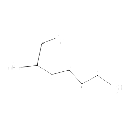 CCCCC(CCCCO)CC(C)=O